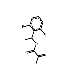 C=C(C)C(=O)OC(C)c1c(F)cccc1I